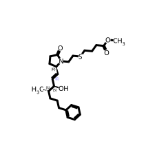 COC(=O)CCCSCCN1C(=O)CC[C@@H]1/C=C/[C@@H](O)[C@@H](C)CCCc1ccccc1